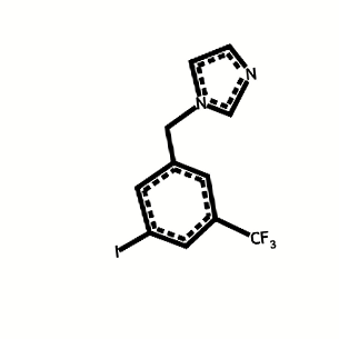 FC(F)(F)c1cc(I)cc(Cn2ccnc2)c1